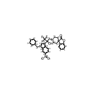 O=C1Oc2ccccc2C12CCN(CC(O)(c1cn(Cc3ccccc3)c3cc([N+](=O)[O-])ccc13)C(F)(F)F)CC2